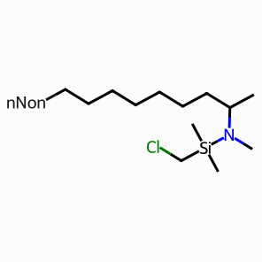 CCCCCCCCCCCCCCCCC(C)N(C)[Si](C)(C)CCl